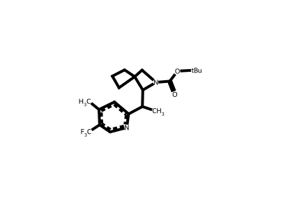 Cc1cc(C(C)C2N(C(=O)OC(C)(C)C)CC23CCC3)ncc1C(F)(F)F